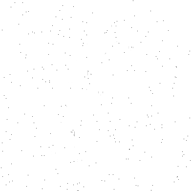 COC(=O)c1ccn(S(=O)(=O)C2CCN(C(=O)O)CC2)c1